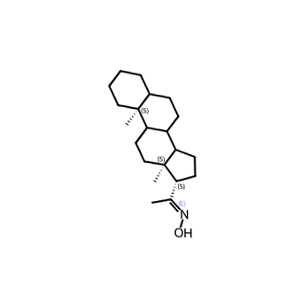 C/C(=N\O)[C@H]1CCC2C3CCC4CCCC[C@]4(C)C3CC[C@@]21C